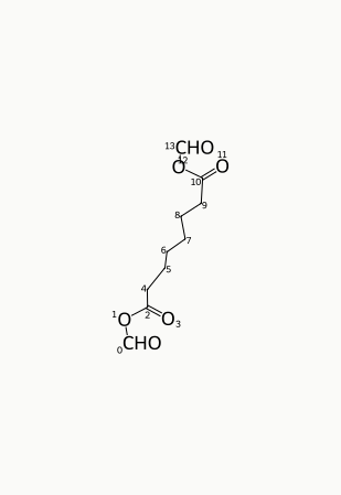 O=COC(=O)CCCCCCC(=O)OC=O